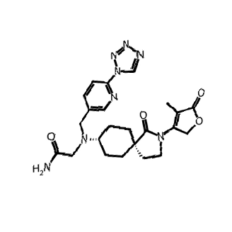 CC1=C(N2CC[C@]3(CC[C@@H](N(CC(N)=O)Cc4ccc(-n5cnnn5)nc4)CC3)C2=O)COC1=O